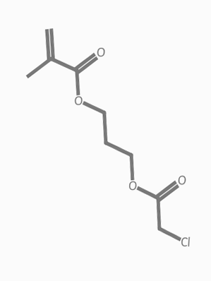 C=C(C)C(=O)OCCCOC(=O)CCl